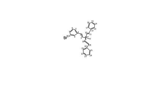 C[P+](C=Cc1ccccc1)(C=Cc1ccccc1)C=Cc1ccccc1.[Br-]